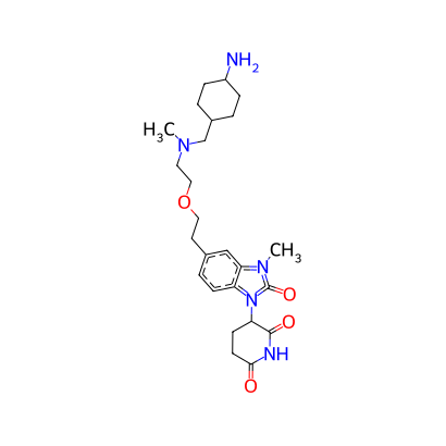 CN(CCOCCc1ccc2c(c1)n(C)c(=O)n2C1CCC(=O)NC1=O)CC1CCC(N)CC1